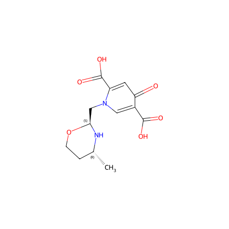 C[C@@H]1CCO[C@@H](Cn2cc(C(=O)O)c(=O)cc2C(=O)O)N1